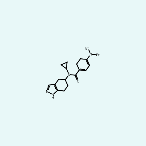 CCN(CC)C1=CC=C(C(=O)N(C2CC2)C2CCc3[nH]ncc3C2)CC1